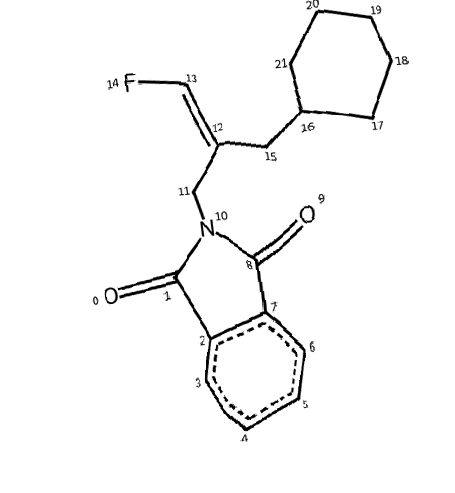 O=C1c2ccccc2C(=O)N1C/C(=C\F)CC1CCCCC1